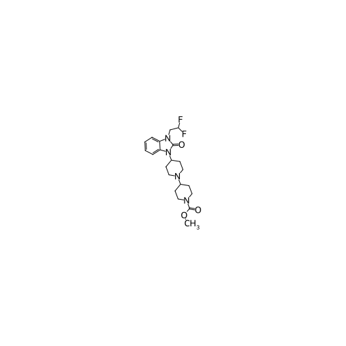 COC(=O)N1CCC(N2CCC(n3c(=O)n(CC(F)F)c4ccccc43)CC2)CC1